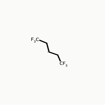 FC(F)(F)C[CH]CC(F)(F)F